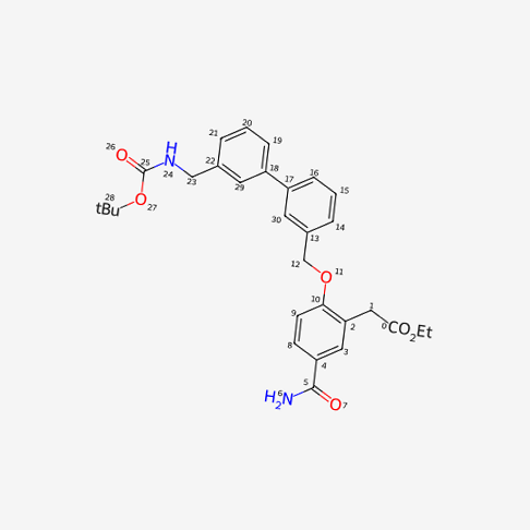 CCOC(=O)Cc1cc(C(N)=O)ccc1OCc1cccc(-c2cccc(CNC(=O)OC(C)(C)C)c2)c1